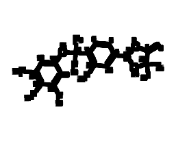 C=C1OB(c2ccc(C(F)(F)Oc3cc(F)c(F)c(F)c3)c(F)c2)OC1(C)C